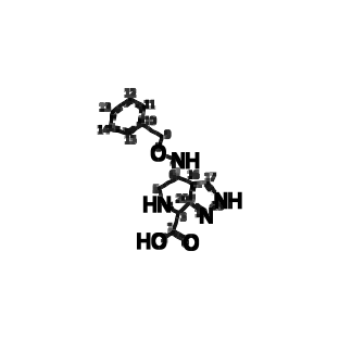 O=C(O)C1NCC(NOCc2ccccc2)c2c[nH]nc21